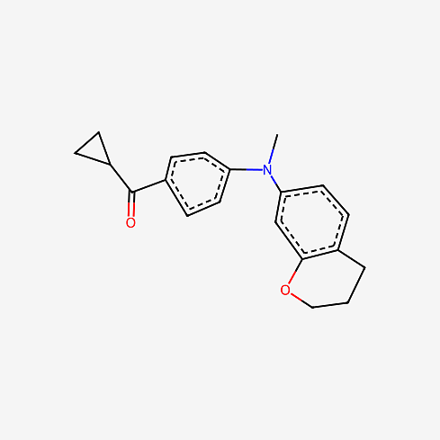 CN(c1ccc(C(=O)C2CC2)cc1)c1ccc2c(c1)OCCC2